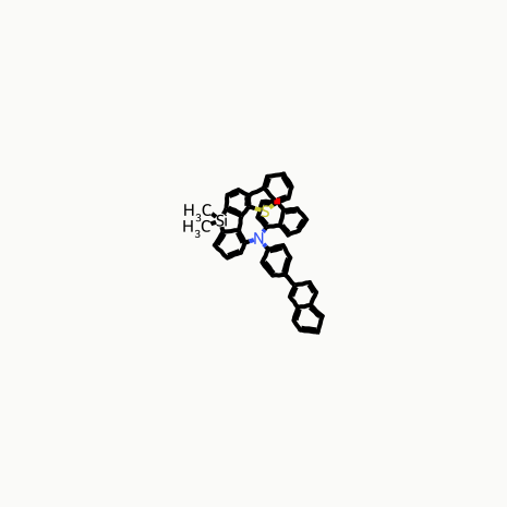 C[Si]1(C)c2cccc(N(c3ccc(-c4ccc5ccccc5c4)cc3)c3cccc4ccccc34)c2-c2c1ccc1c2sc2ccccc21